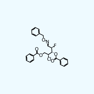 O=C(OC[C@H](Cl)[C@@H](OC(=O)c1ccccc1)[C@H](F)/C=N/OCc1ccccc1)c1ccccc1